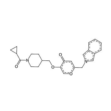 O=C(C1CC1)N1CCC(COc2coc(Cn3cc4ccccc4c3)cc2=O)CC1